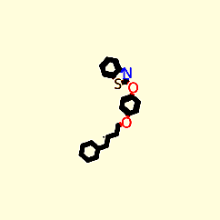 [CH](CCOc1ccc(Oc2nc3ccccc3s2)cc1)CC1CCCCC1